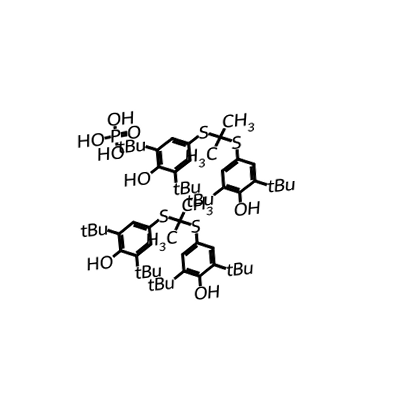 CC(C)(Sc1cc(C(C)(C)C)c(O)c(C(C)(C)C)c1)Sc1cc(C(C)(C)C)c(O)c(C(C)(C)C)c1.CC(C)(Sc1cc(C(C)(C)C)c(O)c(C(C)(C)C)c1)Sc1cc(C(C)(C)C)c(O)c(C(C)(C)C)c1.O=P(O)(O)O